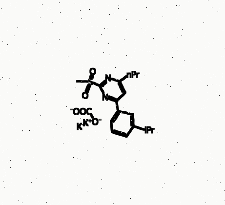 CCCc1cc(-c2cccc(C(C)C)c2)nc(S(C)(=O)=O)n1.O=C([O-])[O-].[K+].[K+]